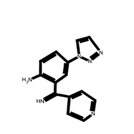 N=C(c1ccncc1)c1cc(-n2ccnn2)ccc1N